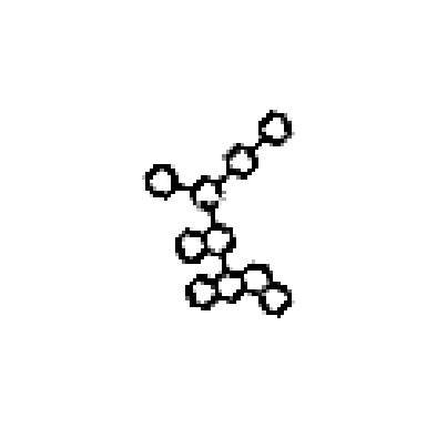 c1ccc(-c2ccc(-c3cc(-c4ccccc4)nc(-c4ccc(-c5c6ccccc6cc6c5ccc5ccccc56)c5ccccc45)n3)cc2)cc1